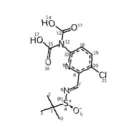 CC(C)(C)[S@+]([O-])N=Cc1nc(N(C(=O)O)C(=O)O)ccc1Cl